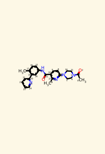 CC(=O)N1CCN(c2ccc(C(=O)Nc3ccc(C)c(-c4ccccn4)c3)c(C)n2)CC1